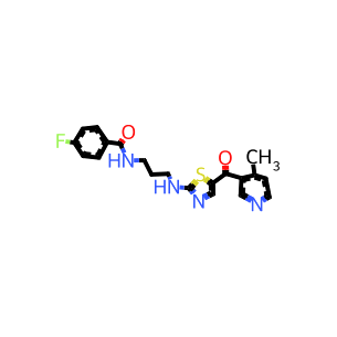 Cc1ccncc1C(=O)c1cnc(NCCCNC(=O)c2ccc(F)cc2)s1